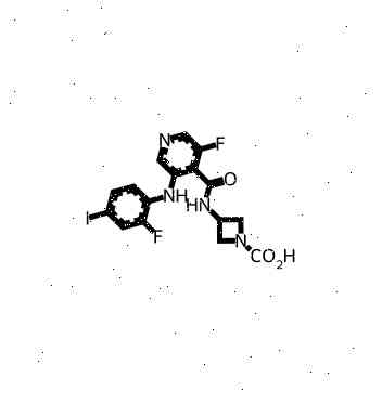 O=C(NC1CN(C(=O)O)C1)c1c(F)cncc1Nc1ccc(I)cc1F